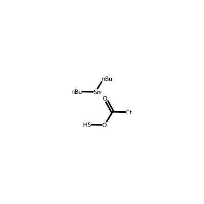 CCC(=O)OS.CCC[CH2][Sn][CH2]CCC